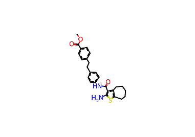 COC(=O)c1ccc(CCc2ccc(NC(=O)c3c(N)sc4c3CCCCC4)cc2)cc1